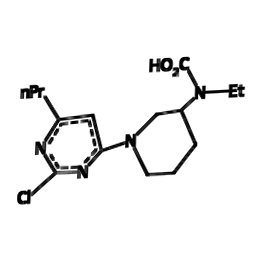 CCCc1cc(N2CCCC(N(CC)C(=O)O)C2)nc(Cl)n1